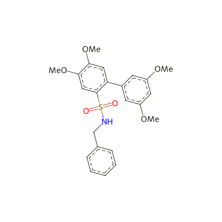 COc1cc(OC)cc(-c2cc(OC)c(OC)cc2S(=O)(=O)NCc2ccccc2)c1